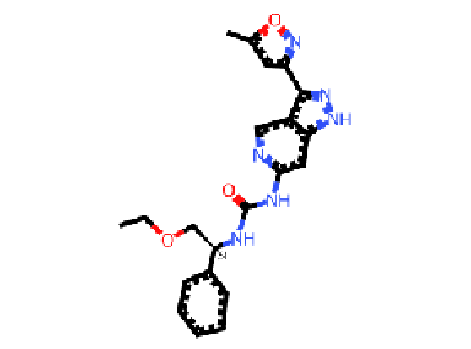 CCOC[C@@H](NC(=O)Nc1cc2[nH]nc(-c3cc(C)on3)c2cn1)c1ccccc1